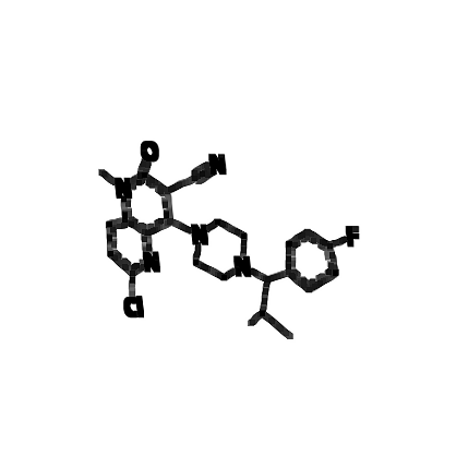 CC(C)C(c1ccc(F)cc1)N1CCN(c2c(C#N)c(=O)n(C)c3ccc(Cl)nc23)CC1